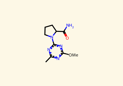 COc1nc(C)nc(N2CCCC2C(N)=O)n1